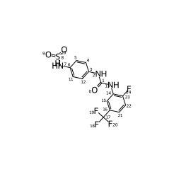 O=C(Nc1ccc(N[SH](=O)=O)cc1)Nc1cc(C(F)(F)F)ccc1F